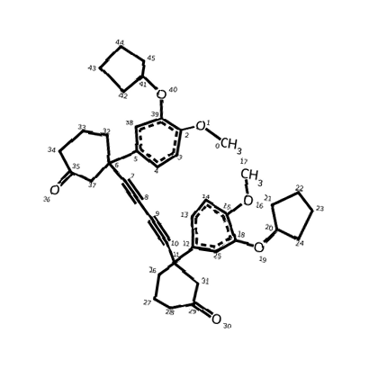 COc1ccc(C2(C#CC#CC3(c4ccc(OC)c(OC5CCCC5)c4)CCCC(=O)C3)CCCC(=O)C2)cc1OC1CCCC1